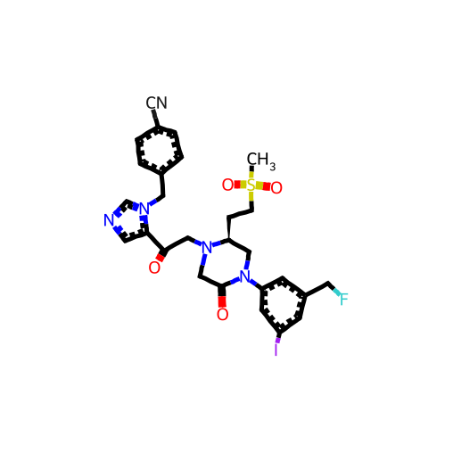 CS(=O)(=O)CC[C@H]1CN(c2cc(I)cc(CF)c2)C(=O)CN1CC(=O)c1cncn1Cc1ccc(C#N)cc1